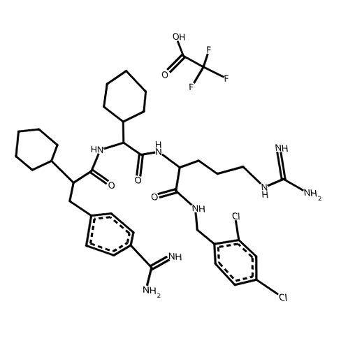 N=C(N)NCCCC(NC(=O)C(NC(=O)C(Cc1ccc(C(=N)N)cc1)C1CCCCC1)C1CCCCC1)C(=O)NCc1ccc(Cl)cc1Cl.O=C(O)C(F)(F)F